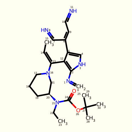 C=Nc1[nH]cc(/C(C=N)=C/C=N)c1/C(=C\C)N1CCC[C@H](N(CC)C(=O)OC(C)(C)C)C1